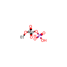 CC[O][Mo](=[O])(=[O])[O]P(=O)(O)O